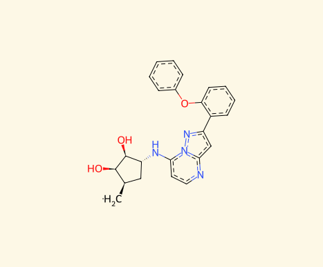 [CH2][C@@H]1C[C@@H](Nc2ccnc3cc(-c4ccccc4Oc4ccccc4)nn23)[C@H](O)[C@@H]1O